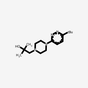 CC(C)(O)CN1CCN(c2ccc(C(C)(C)C)nn2)CC1